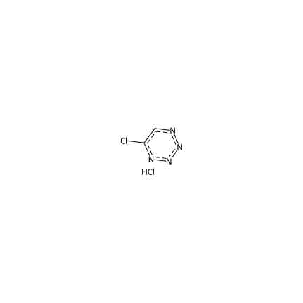 Cl.Clc1cnnnn1